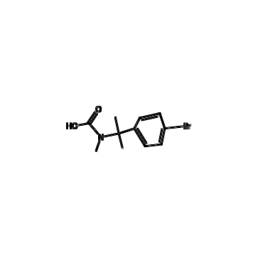 CN(C(=O)O)C(C)(C)c1ccc(Br)cc1